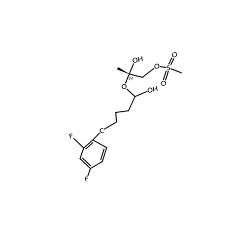 C[C@@](O)(COS(C)(=O)=O)OC(O)CCCCc1ccc(F)cc1F